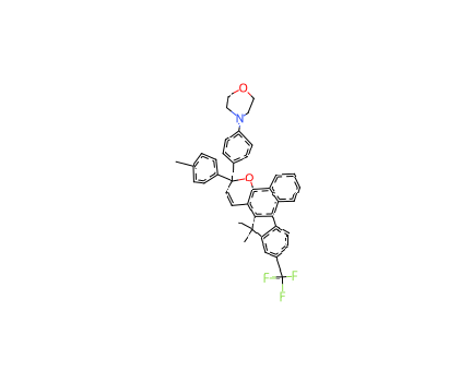 Cc1ccc(C2(c3ccc(N4CCOCC4)cc3)C=Cc3c4c(c5ccccc5c3O2)-c2ccc(C(F)(F)F)cc2C4(C)C)cc1